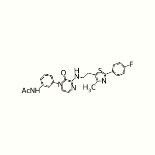 CC(=O)Nc1cccc(-n2ccnc(NCCc3sc(-c4ccc(F)cc4)nc3C)c2=O)c1